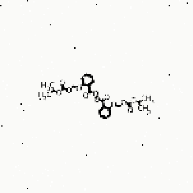 CC(C)OC(=O)OCOc1ccccc1C(=O)OOC(=O)c1ccccc1OCOC(=O)OC(C)C